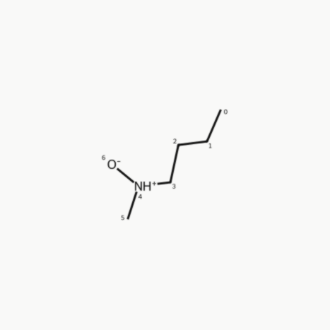 CCCC[NH+](C)[O-]